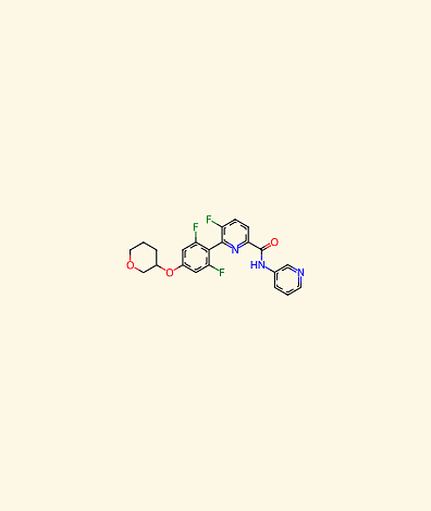 O=C(Nc1cccnc1)c1ccc(F)c(-c2c(F)cc(OC3CCCOC3)cc2F)n1